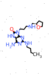 CCCCNc1nc(N)c2[nH]c(=O)n(CCCNC[C@H]3CCCO3)c2n1